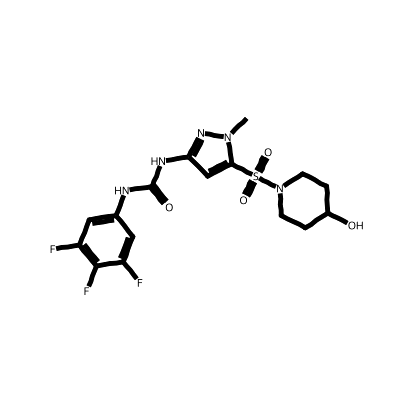 Cn1nc(NC(=O)Nc2cc(F)c(F)c(F)c2)cc1S(=O)(=O)N1CCC(O)CC1